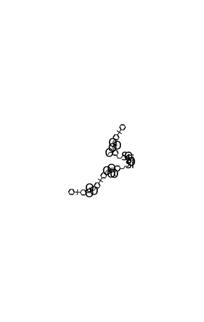 COc1cc(CCC[Si](C)(C)O[Si](C)(C)O[Si](C)(C)CCCc2ccc(OC(=O)Oc3ccc(C(C)(C)c4ccc(OC(=O)OC5=CCC(C(C)(C)c6ccccc6)C=C5)cc4)cc3)c(OC)c2)ccc1OC(=O)Oc1ccc(C(C)(C)c2ccccc2)cc1